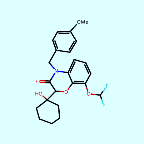 COc1ccc(CN2C(=O)C(C3(O)CCCCC3)Oc3c(OC(F)F)cccc32)cc1